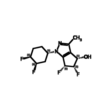 Cc1nn([C@H]2CC[C@H](F)[C@H](F)C2)c2c1[C@H](O)[C@H](F)[C@@H]2F